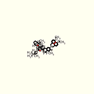 COc1ccc(CN(Cc2ccc(OC)cc2)c2cc(-c3nc4c5c(nc(N6CC(C)(N(C)C)C6)nc5c3F)N3C[C@H]5CC[C@@H]([C@H]3[C@H](C)O4)N5C(=O)OC(C)(C)C)c(C(F)(F)F)c(C)c2F)cc1